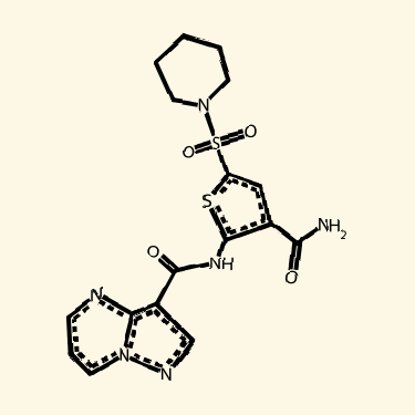 NC(=O)c1cc(S(=O)(=O)N2CCCCC2)sc1NC(=O)c1cnn2cccnc12